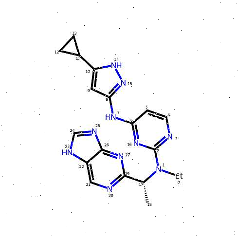 CCN(c1nccc(Nc2cc(C3CC3)[nH]n2)n1)[C@H](C)c1ncc2[nH]cnc2n1